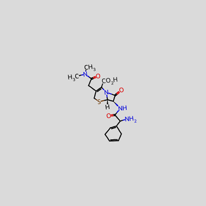 CN(C)C(=O)CC1=C(C(=O)O)N2C(=O)[C@@H](NC(=O)C(N)C3=CCC=CC3)[C@@H]2SC1